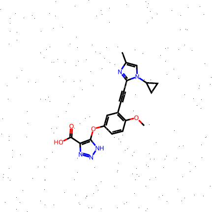 COc1ccc(Oc2[nH]nnc2C(=O)O)cc1C#Cc1nc(C)cn1C1CC1